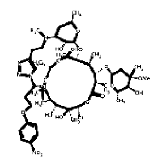 CC[C@H]1OC(=O)[C@H](C)[C@@H](O[C@H]2C[C@@](C)(OC)[C@@H](O)[C@H](C)O2)[C@H](C)[C@@H](O[C@@H]2O[C@H](C)C[C@H](N(C)CCc3cn([C@H](CF)CCOc4ccc([N+](=O)[O-])cc4)nn3)[C@H]2O)[C@](C)(O)C[C@@H](C)CN(C)[C@H](C)[C@@H](O)[C@]1(C)O